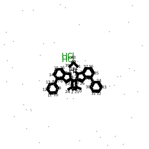 CC(C)CC1=Cc2c(-c3ccccc3)cccc2[CH]1[Hf]1([CH]2C(CC(C)C)=Cc3c(-c4ccccc4)cccc32)[CH2]C[CH2]1.Cl.Cl